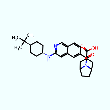 CC(C)(C)[C@H]1CC[C@H](Nc2cc3cc(C(=O)N4C5CCC4CC(C(=O)O)C5)ccc3cn2)CC1